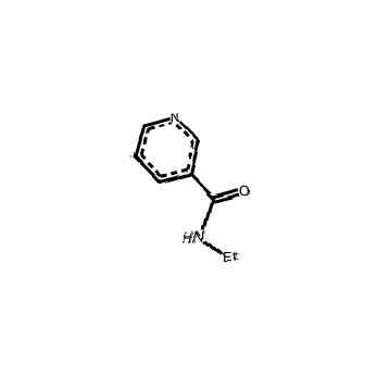 CCNC(=O)c1c[c]cnc1